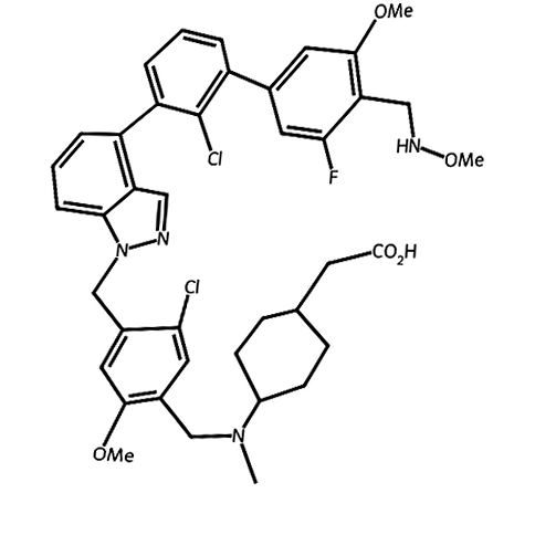 CONCc1c(F)cc(-c2cccc(-c3cccc4c3cnn4Cc3cc(OC)c(CN(C)C4CCC(CC(=O)O)CC4)cc3Cl)c2Cl)cc1OC